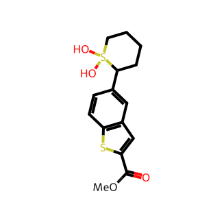 COC(=O)c1cc2cc(C3CCCCS3(O)O)ccc2s1